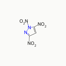 O=[N+]([O-])c1cc([N+](=O)[O-])n([N+](=O)[O-])n1